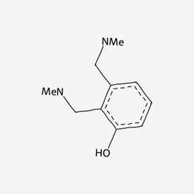 CNCc1cccc(O)c1CNC